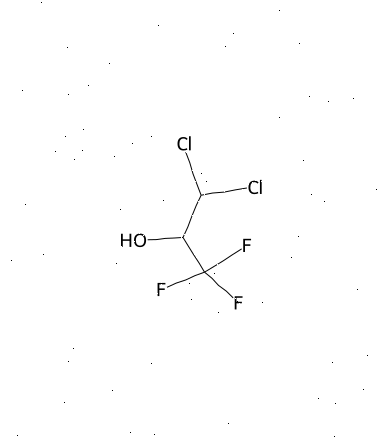 OC(C(Cl)Cl)C(F)(F)F